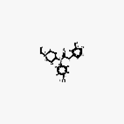 CCN1CCC(N(C(=O)Cc2cccc(C)c2)c2ccc(Cl)cc2)CC1